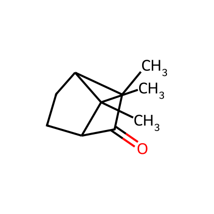 CC1C(=O)C2CCC1C2(C)C